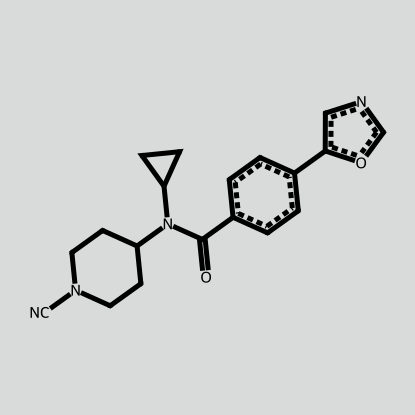 N#CN1CCC(N(C(=O)c2ccc(-c3cnco3)cc2)C2CC2)CC1